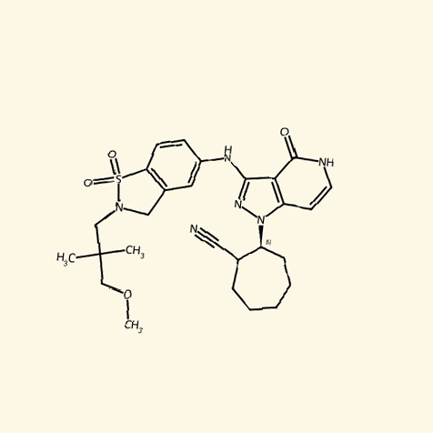 COCC(C)(C)CN1Cc2cc(Nc3nn([C@H]4CCCCCC4C#N)c4cc[nH]c(=O)c34)ccc2S1(=O)=O